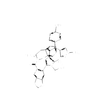 Cc1c(C(=O)N(c2ccc(O)cc2)c2cnn(C)c2)cc(-c2cc3c(cc2C(=O)N2Cc4ccccc4C[C@H]2C)OCO3)n1CO